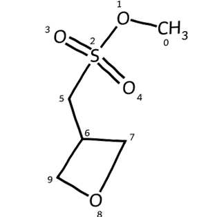 COS(=O)(=O)CC1COC1